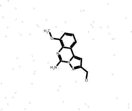 COc1cccc2c1nc(N)n1nc(CCl)cc21